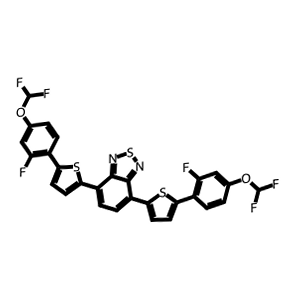 Fc1cc(OC(F)F)ccc1-c1ccc(-c2ccc(-c3ccc(-c4ccc(OC(F)F)cc4F)s3)c3nsnc23)s1